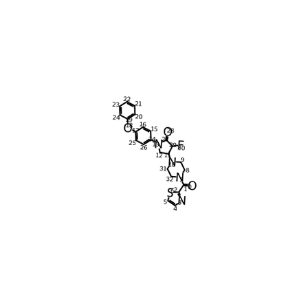 O=C(c1nccs1)N1CCN(C2CN(c3ccc(Oc4ccccc4)cc3)C(=O)C2F)CC1